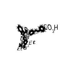 CCOC(=O)C1(N(CC)C(=O)c2cccc(C(=O)Nc3sc4c(c3C(=O)Nc3ccc(CCc5ccc(C(=O)O)cc5)cc3)CCCC4)c2)CC1